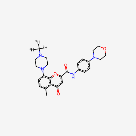 [3H]C([3H])([3H])N1CCN(c2ccc(C)c3c(=O)cc(C(=O)Nc4ccc(N5CCOCC5)cc4)oc23)CC1